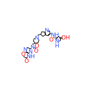 O=C1COc2ncc(N3CC4(CCN(CC5Cc6cc(NC(=O)[C@@H]7C[C@@H](O)CN7)cnc6C5)CC4)OC3=O)nc2N1